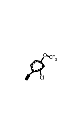 C#Cc1ccc(OC(F)(F)F)cc1Cl